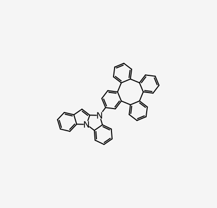 c1ccc2c(c1)-c1ccccc1-c1ccc(-n3c4ccccc4n4c5ccccc5cc34)cc1-c1ccccc1-2